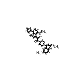 COc1cc(N2CCN(C(=O)C(=O)c3c[nH]c4c(-n5cncn5)ncc(OC)c34)CC2)c2cc(C)ccc2n1